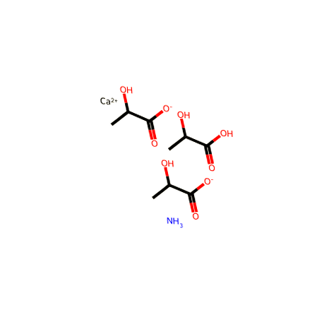 CC(O)C(=O)O.CC(O)C(=O)[O-].CC(O)C(=O)[O-].N.[Ca+2]